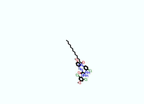 CCCCCCCCCCCCCC(=O)Nc1ccc(Cl)c(Nc2[nH]n(-c3c(Cl)cc(OC)cc3Cl)c(=O)c2/N=N/c2ccc(OC)cc2)c1